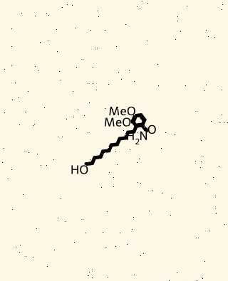 COc1ccc(C(N)=O)c(CCCCCCCCCCCCO)c1OC